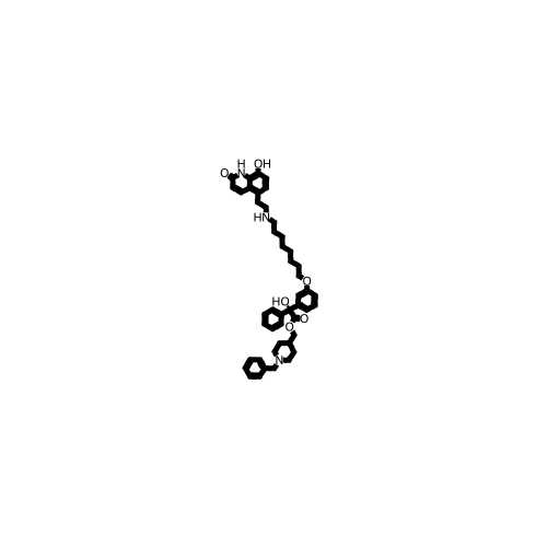 O=C(OCC1CCN(Cc2ccccc2)CC1)[C@](O)(c1ccccc1)c1cccc(OCCCCCCCCNCCc2ccc(O)c3[nH]c(=O)ccc23)c1